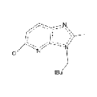 Cc1nc2ccc(Cl)nc2n1CC(C)(C)C